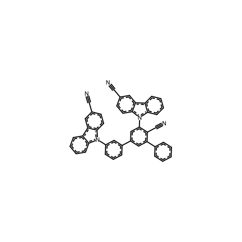 N#Cc1ccc2c(c1)c1ccccc1n2-c1cccc(-c2cc(-c3ccccc3)c(C#N)c(-n3c4ccccc4c4cc(C#N)ccc43)c2)c1